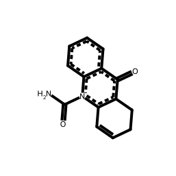 NC(=O)n1c2c(c(=O)c3ccccc31)CCC=C2